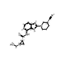 N#C[C@H]1CCCN(c2nc3ccnc(NC(=O)[C@@H]4C[C@H]4CO)c3s2)C1